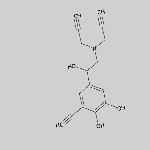 C#CCN(CC#C)CC(O)c1cc(O)c(O)c(C#C)c1